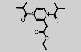 CCOC(=O)CC1=CN(C(=O)C(C)C)C=CN1C(=O)C(C)C